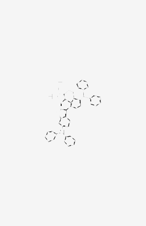 CC1(C)CCc2c(C(c3ccccc3)c3ccccc3)ccc3c2c1cc1oc2cc(N(c4ccccc4)c4ccccc4)ccc2c13